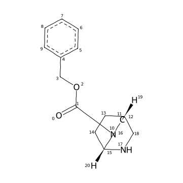 O=C(OCc1ccccc1)N1C[C@@H]2CC[C@H](C1)NC2